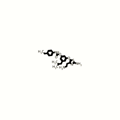 CCc1ccc(NC(=O)Oc2cc(CC(C)C)cc(Oc3sc(N)nc3CCN)c2)cc1